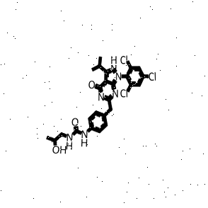 CC(O)CNC(=O)Nc1ccc(Cc2nc3n(-c4c(Cl)cc(Cl)cc4Cl)[nH]c(C(C)C)c-3c(=O)n2)cc1